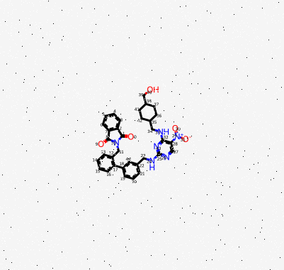 O=C1c2ccccc2C(=O)N1Cc1ccccc1-c1cccc(CNc2ncc([N+](=O)[O-])c(NCC3CCC(CO)CC3)n2)c1